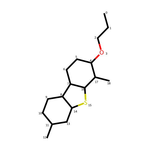 CCCOC1CCC2C3CCC(C)CC3SC2C1C